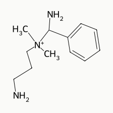 C[N+](C)(CCCN)C(N)c1ccccc1